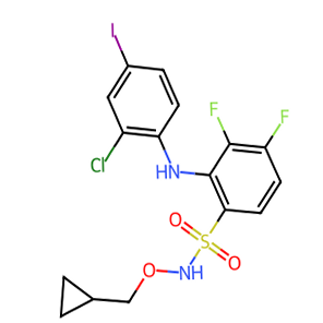 O=S(=O)(NOCC1CC1)c1ccc(F)c(F)c1Nc1ccc(I)cc1Cl